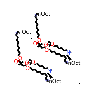 C#CCN(C)CCCCCCO[Si](C)(C)OC(CC(C)(C)C(=O)OCCCCCCCC/C=C\CCCCCCCC)OCCCCCCCC/C=C\CCCCCCCC.C#CCN(C)CCCCCCO[Si](C)(C)OC(CC(C)(C)C(=O)OCCCCCCCC/C=C\CCCCCCCC)OCCCCCCCC/C=C\CCCCCCCC